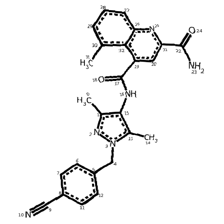 Cc1nn(Cc2ccc(C#N)cc2)c(C)c1NC(=O)c1cc(C(N)=O)nc2cccc(C)c12